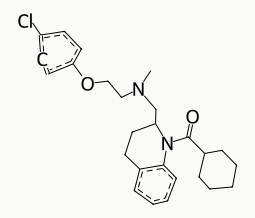 CN(CCOc1ccc(Cl)cc1)CC1CCc2ccccc2N1C(=O)C1CCCCC1